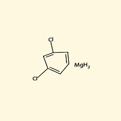 Clc1cccc(Cl)c1.[MgH2]